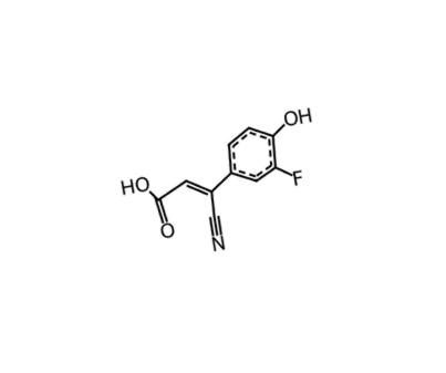 N#CC(=CC(=O)O)c1ccc(O)c(F)c1